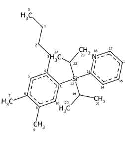 CCCCc1cc(C)c(C)cc1[Si](c1ccccn1)(C(C)C)C(C)C